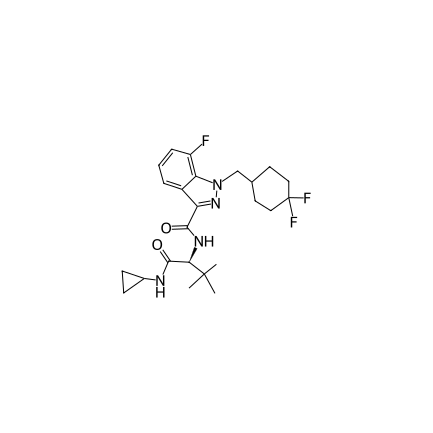 CC(C)(C)[C@H](NC(=O)c1nn(CC2CCC(F)(F)CC2)c2c(F)cccc12)C(=O)NC1CC1